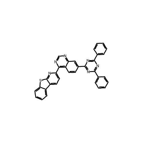 c1ccc(-c2nc(-c3ccccc3)nc(-c3ccc4c(-c5ccc6c(n5)sc5ccccc56)ncnc4c3)n2)cc1